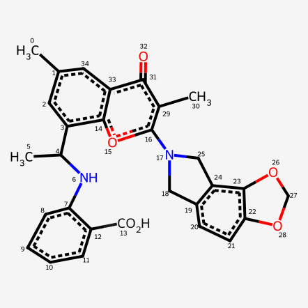 Cc1cc(C(C)Nc2ccccc2C(=O)O)c2oc(N3Cc4ccc5c(c4C3)OCO5)c(C)c(=O)c2c1